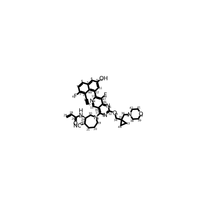 C#Cc1c(F)ccc2cc(O)cc(-c3ncc4c(N5CCC[C@@H](C#N)[C@@H](NC(=O)C=C)C5)nc(OCC5(CN6CCOCC6)CC5)nc4c3F)c12